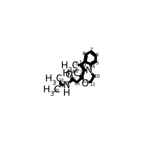 Cc1c2n(c3ccccc13)CCOC2(C)CC(=O)NC(C)C